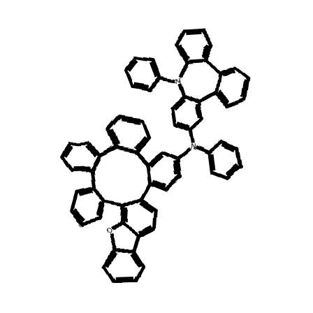 c1ccc(N(c2ccc3c(c2)-c2ccccc2-c2ccccc2N3c2ccccc2)c2ccc3c(c2)c2ccccc2c2ccccc2c2ccccc2c2c3ccc3c4ccccc4oc32)cc1